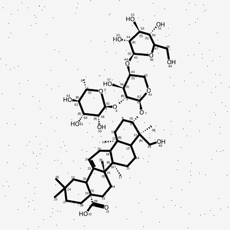 C[C@@H]1O[C@@H](O[C@H]2[C@H](O[C@H]3CC[C@@]4(C)C(CC[C@]5(C)C4CC=C4C6CC(C)(C)CC[C@]6(C(=O)O)CC[C@]45C)[C@]3(C)CO)OC[C@H](O[C@@H]3OC(CO)[C@@H](O)[C@H](O)[C@H]3O)[C@@H]2O)[C@H](O)[C@H](O)[C@H]1O